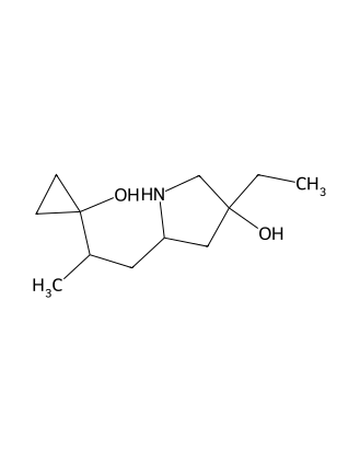 CCC1(O)CNC(CC(C)C2(O)CC2)C1